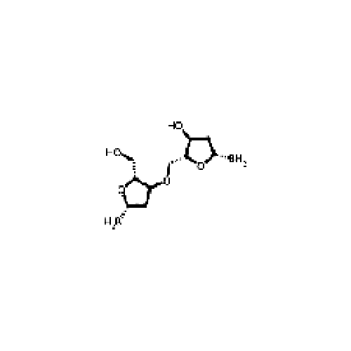 B[C@H]1CC(O)[C@@H](COC2C[C@H](B)O[C@@H]2CO)O1